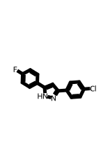 Fc1ccc(-c2cc(-c3ccc(Cl)cc3)n[nH]2)cc1